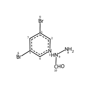 Brc1cncc(Br)c1.NNC=O